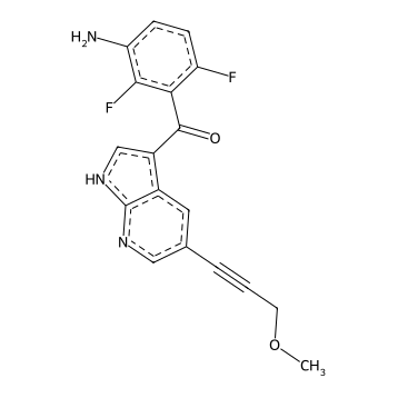 COCC#Cc1cnc2[nH]cc(C(=O)c3c(F)ccc(N)c3F)c2c1